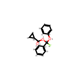 O=C(OC(F)(Oc1ccccc1)c1ccccc1)C1CC1